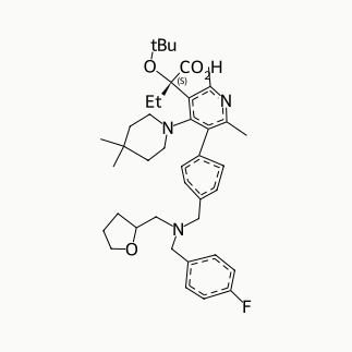 CC[C@@](OC(C)(C)C)(C(=O)O)c1c(C)nc(C)c(-c2ccc(CN(Cc3ccc(F)cc3)CC3CCCO3)cc2)c1N1CCC(C)(C)CC1